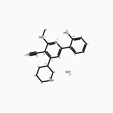 CNc1nc(-c2ccccc2O)cc(C2CCCNC2)c1C#N.Cl